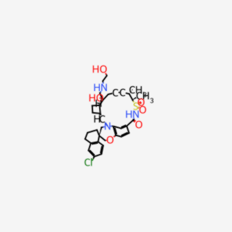 C[C@@H]1[C@@H](C)CCC[C@@](O)(CNCCO)[C@@H]2CC[C@H]2CN2C[C@@]3(CCCc4cc(Cl)ccc43)COc3ccc(cc32)C(=O)NS1(=O)=O